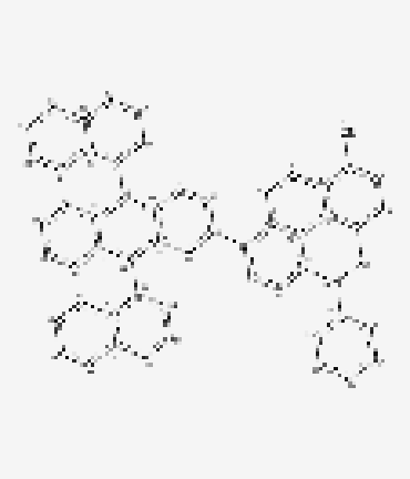 N#Cc1ccc2c3c1ccc1c(-c4ccc5c(-c6cccc7ccccc67)c6ccccc6c(-c6cccc7ccccc67)c5c4)ccc(c13)N(c1ccccc1)C2